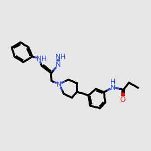 CCC(=O)Nc1cccc(C2CCN(C/C(=C/Nc3ccccc3)N=N)CC2)c1